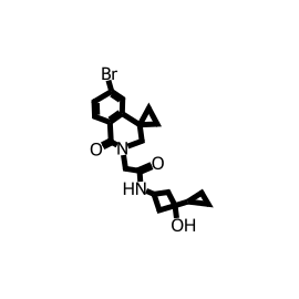 O=C(CN1CC2(CC2)c2cc(Br)ccc2C1=O)NC1CC(O)(C2CC2)C1